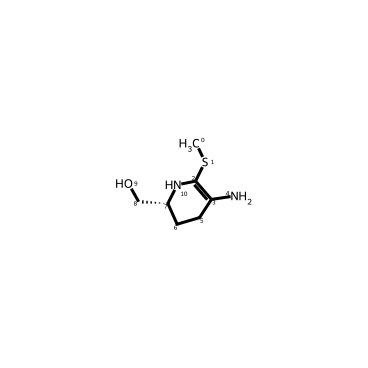 CSC1=C(N)CC[C@H](CO)N1